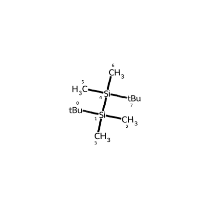 CC(C)(C)[Si](C)(C)[Si](C)(C)C(C)(C)C